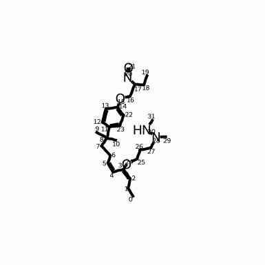 CC/C=C(\C=C/CCC(C)(C)c1ccc(OCC(CC)N=O)cc1)OCCCN(C)NC